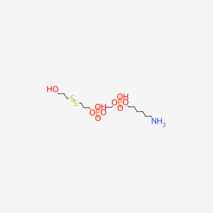 NCCCCCCOP(=O)(O)OCCOP(=O)(O)OCCCSSCCCO